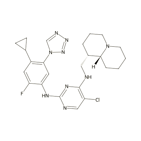 Fc1cc(C2CC2)c(-n2cnnn2)cc1Nc1ncc(Cl)c(NC[C@@H]2CCCN3CCCC[C@H]23)n1